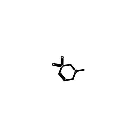 CN1CC=CS(=O)(=O)C1